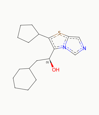 O[C@@H](CC1CCCCC1)c1c(C2CCCC2)sc2cncn12